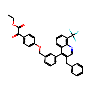 CCOC(=O)C(=O)c1ccc(OCc2cccc(-c3c(Cc4ccccc4)cnc4c(C(F)(F)F)cccc34)c2)cc1